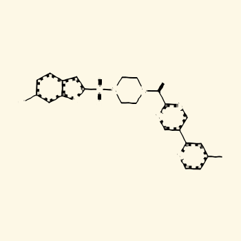 Cc1ccnc(-c2cnc(C(=O)N3CCN(S(=O)(=O)c4cc5ccc(Cl)cc5s4)CC3)nc2)c1